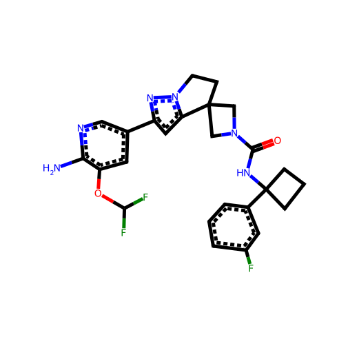 Nc1ncc(-c2cc3n(n2)CCC32CN(C(=O)NC3(c4cccc(F)c4)CCC3)C2)cc1OC(F)F